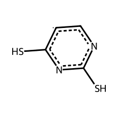 Sc1[c]cnc(S)n1